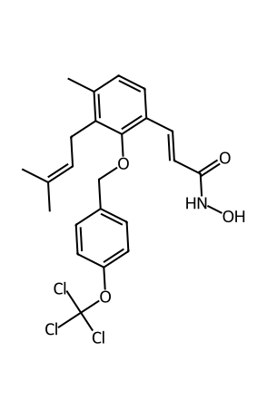 CC(C)=CCc1c(C)ccc(/C=C/C(=O)NO)c1OCc1ccc(OC(Cl)(Cl)Cl)cc1